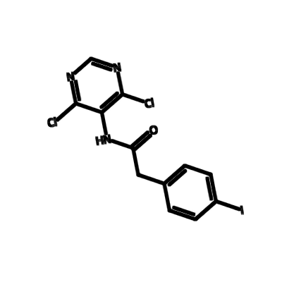 O=C(Cc1ccc(I)cc1)Nc1c(Cl)ncnc1Cl